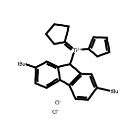 CC(C)(C)c1ccc2c(c1)[CH]([Ti+2]([C]1=CC=CC1)=[C]1CCCC1)c1cc(C(C)(C)C)ccc1-2.[Cl-].[Cl-]